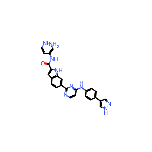 N/C=C\C(=C/N)NC(=O)c1cc2ccc(-c3nccc(Nc4ccc(-c5cn[nH]c5)cc4)n3)cc2[nH]1